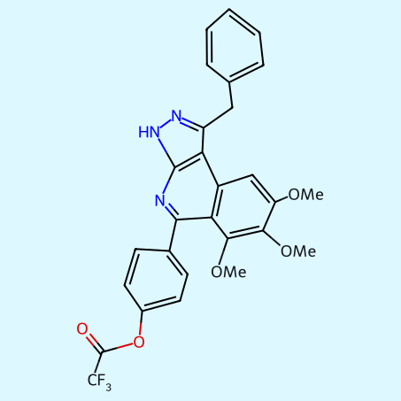 COc1cc2c(c(-c3ccc(OC(=O)C(F)(F)F)cc3)nc3[nH]nc(Cc4ccccc4)c32)c(OC)c1OC